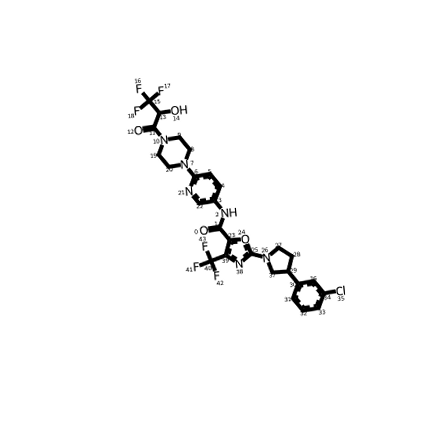 O=C(Nc1ccc(N2CCN(C(=O)C(O)C(F)(F)F)CC2)nc1)c1oc(N2CCC(c3cccc(Cl)c3)C2)nc1C(F)(F)F